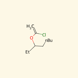 C=C(Cl)OC(CC)CCCCC